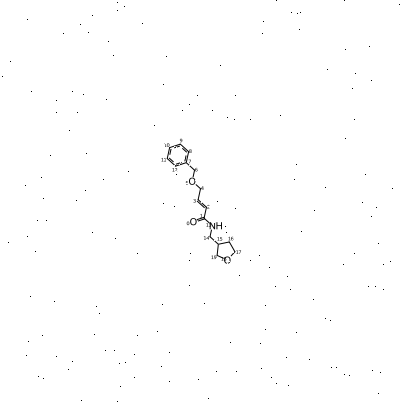 O=C(C=CCOCc1ccccc1)NCC1CCOC1